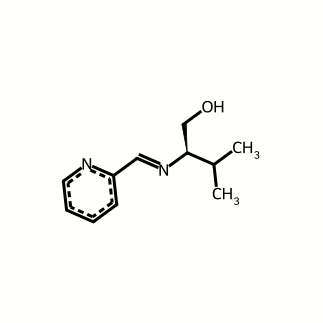 CC(C)[C@H](CO)N=Cc1ccccn1